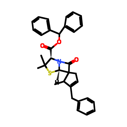 CC1C(Cc2ccccc2)=CCC12C(=O)N1[C@@H](C(=O)OC(c3ccccc3)c3ccccc3)C(C)(C)S[C@@H]12